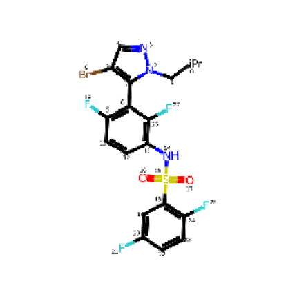 CC(C)Cn1ncc(Br)c1-c1c(F)ccc(NS(=O)(=O)c2cc(F)ccc2F)c1F